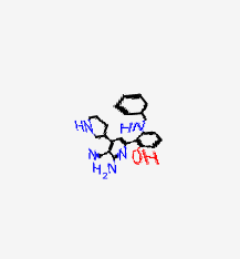 N#Cc1c(C2CCCNC2)cc(-c2c(O)cccc2NCc2ccccc2)nc1N